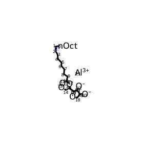 CCCCCCCC/C=C\CCCCCCCC(=O)O[C@H](C[O-])[C@H]1OC[C@H]([O-])[C@H]1[O-].[Al+3]